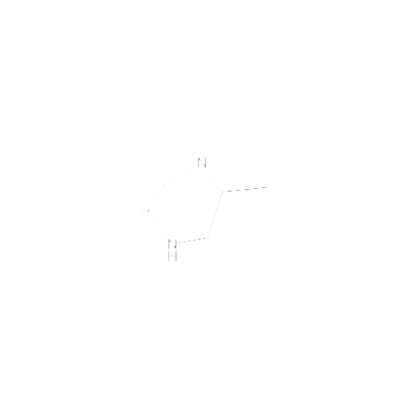 CC1CNCC[N+]1